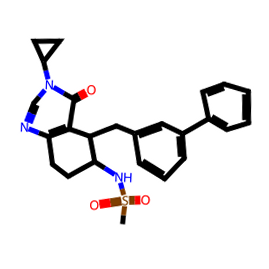 CS(=O)(=O)NC1CCc2ncn(C3CC3)c(=O)c2C1Cc1cccc(-c2ccccc2)c1